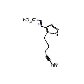 CCCC#CCCCc1sccc1/C=C/C(=O)O